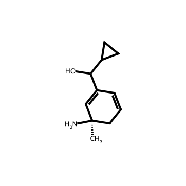 C[C@]1(N)C=C(C(O)C2CC2)C=CC1